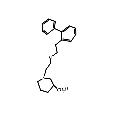 O=C(O)C1CCCN(CCOCCc2ccccc2-c2ccccc2)C1